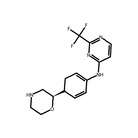 FC(F)(F)c1nccc(NC2=CCC([C@@H]3CNCCO3)C=C2)n1